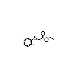 CCOC(=O)CSc1[c]cccc1